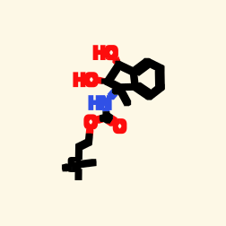 CC1(NC(=O)OCC[Si](C)(C)C)c2ccccc2[C@H](O)[C@@H]1O